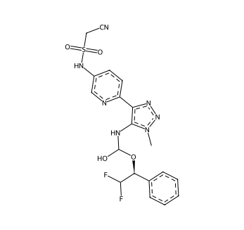 Cn1nnc(-c2ccc(NS(=O)(=O)CC#N)cn2)c1NC(O)O[C@@H](c1ccccc1)C(F)F